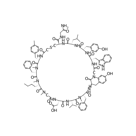 CCCC[C@H]1C(=O)N(C)CC(=O)N[C@@H](CC(=O)O)C(=O)N[C@@H](C(C)C)C(=O)N(C)[C@@H](Cc2ccccc2)C(=O)N[C@H]2Cc3ccc(O)cc3N(CC(=O)N[C@@H](Cc3c[nH]c4ccccc34)C(=O)N[C@@H](Cc3ccc(O)cc3)C(=O)N[C@@H](CC(C)C)C(=O)N[C@H](C(=O)NCC(N)=O)CSCC(=O)N[C@@H](Cc3ccc(C)cc3)C(=O)N(C)[C@@H](Cc3ccccc3)C(=O)N1C)C2=O